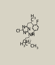 CC(C)C[C@H](CO)Nc1nc(Cl)nc(CC(C)c2cc(F)ccc2F)n1